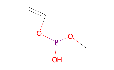 C=COP(O)OC